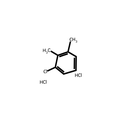 Cc1cccc(Cl)c1C.Cl.Cl